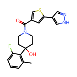 Cc1cccc(F)c1C1(O)CCN(C(=O)c2csc(-c3cn[nH]c3)c2)CC1